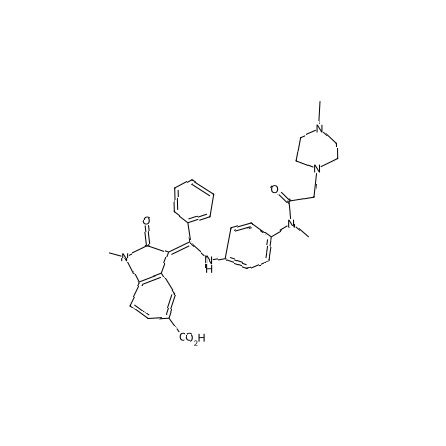 CN1CCN(CC(=O)N(C)c2ccc(NC(=C3C(=O)N(C)c4ccc(C(=O)O)cc43)c3ccccc3)cc2)CC1